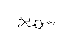 [CH2]c1ccc(CC(Cl)(Cl)Cl)cc1